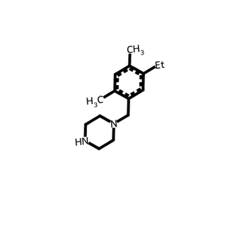 CCc1cc(CN2CCNCC2)c(C)cc1C